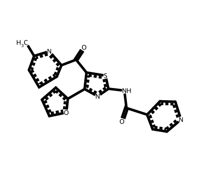 Cc1cccc(C(=O)c2sc(NC(=O)c3ccncc3)nc2-c2ccco2)n1